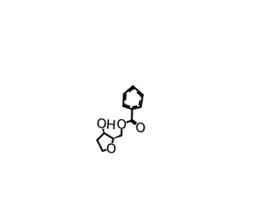 O=C(OC[C@H]1OCC[C@H]1O)c1ccccc1